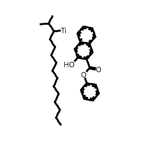 CCCCCCCCCCCC[CH]([Ti])C(C)C.O=C(Oc1ccccc1)c1cc2ccccc2cc1O